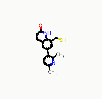 Cc1ccc(-c2cc(CS)c3[nH]c(=O)ccc3c2)c(C)n1